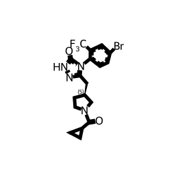 O=C(C1CC1)N1CC[C@@H](Cc2n[nH]c(=O)n2-c2ccc(Br)cc2C(F)(F)F)C1